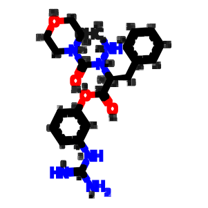 N=C(N)Nc1cccc(OC(=O)[C@H](Cc2ccccc2)N(NC=O)C(=O)N2CCOCC2)c1